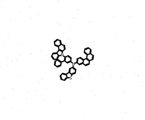 c1ccc(-c2cc(N(c3ccc4c(ccc5ccc6ccccc6c54)c3)c3ccc4sc5ccccc5c4c3)ccc2-n2c3ccccc3c3c4ccccc4ccc32)cc1